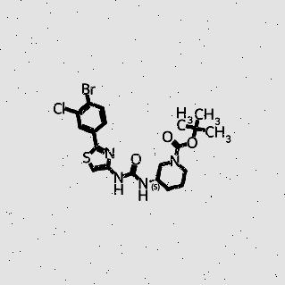 CC(C)(C)OC(=O)N1CCC[C@H](NC(=O)Nc2csc(-c3ccc(Br)c(Cl)c3)n2)C1